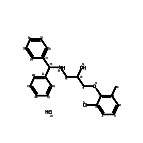 Cc1cccc(Cl)c1OCC(O)CNC(c1ccccc1)c1ccccc1.Cl